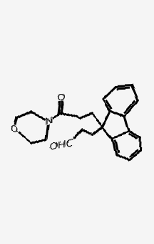 O=CCCC1(CCC(=O)N2CCOCC2)c2ccccc2-c2ccccc21